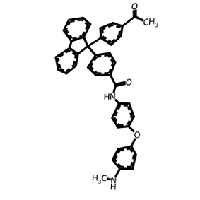 CNc1ccc(Oc2ccc(NC(=O)c3ccc(C4(c5ccc(C(C)=O)cc5)c5ccccc5-c5ccccc54)cc3)cc2)cc1